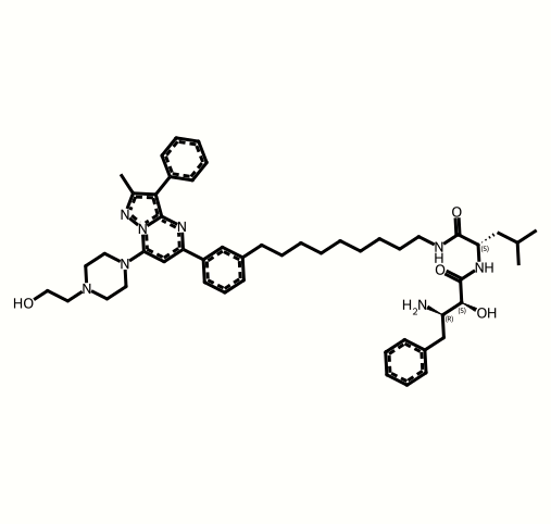 Cc1nn2c(N3CCN(CCO)CC3)cc(-c3cccc(CCCCCCCCCNC(=O)[C@H](CC(C)C)NC(=O)[C@@H](O)[C@H](N)Cc4ccccc4)c3)nc2c1-c1ccccc1